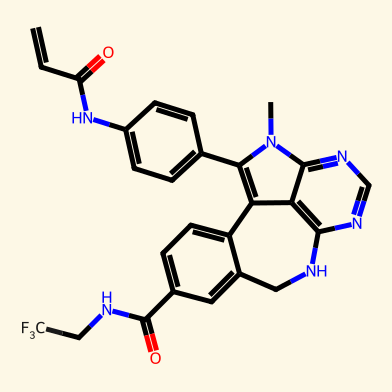 C=CC(=O)Nc1ccc(-c2c3c4c(ncnc4n2C)NCc2cc(C(=O)NCC(F)(F)F)ccc2-3)cc1